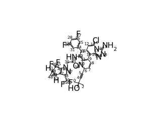 CC(C)(O)C#Cc1ccc(-c2ccc(Cl)n3c(N)nnc23)c([C@H](Cc2cc(F)cc(F)c2)NC(=O)Cn2nc(C(F)F)c3c2C(F)(F)[C@@H]2C[C@H]32)n1